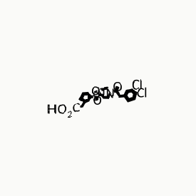 O=C(O)Cc1cccc(S(=O)(=O)N2CCN(C(=O)Cc3ccc(Cl)c(Cl)c3)CC2)c1